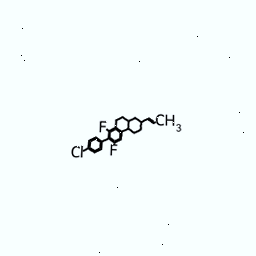 CC=CC1CCC2c3cc(F)c(-c4ccc(Cl)cc4)c(F)c3CCC2C1